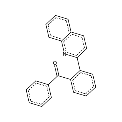 O=C(c1ccccc1)c1ccccc1-c1ccc2ccccc2n1